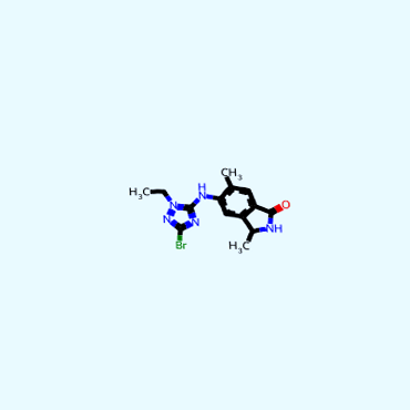 CCn1nc(Br)nc1Nc1cc2c(cc1C)C(=O)NC2C